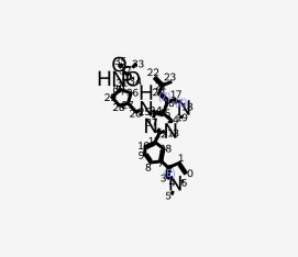 C=C/C(=C\N(C)C)c1cccc(-c2ncc(C(/C=N\C)=C/C(=C)C)c(NCC3CC[C@H](NS(C)(=O)=O)C3)n2)c1